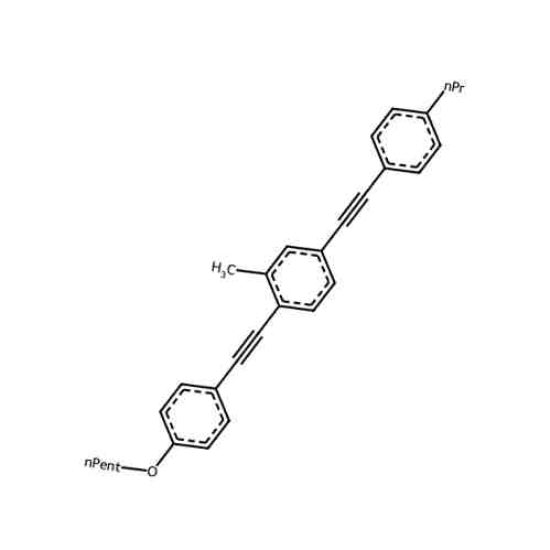 CCCCCOc1ccc(C#Cc2ccc(C#Cc3ccc(CCC)cc3)cc2C)cc1